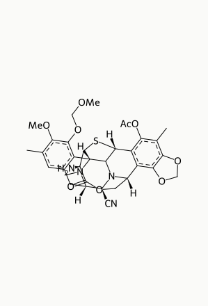 COCOc1c(OC)c(C)cc2c1[C@@H]1C3[C@@H]4SC[C@H](N)C(=O)OC[C@@H](c5c6c(c(C)c(OC(C)=O)c54)OCO6)N3[C@@H](C#N)[C@H](C2)N1C